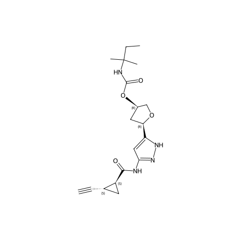 C#C[C@H]1C[C@@H]1C(=O)Nc1cc([C@H]2C[C@@H](OC(=O)NC(C)(C)CC)CO2)[nH]n1